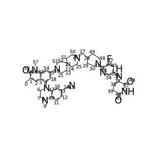 Cc1cc2c(N3CCN(C)c4ccc(C#N)cc43)cc(N3CCC4(CCN(CC5CCN(c6ncc(NC7CCC(=O)NC7=O)cc6F)CC5)CC4)CC3)cc2n(C)c1=O